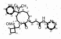 COC1(CN2CC[C@@](c3ccccc3)(N(C)C)CCCN(CCC(=O)Nc3cccnn3)C2=O)CCC1